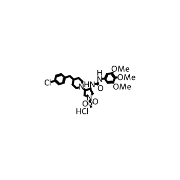 COc1cc(NC(=O)NC2CN(S(C)(=O)=O)CC2N2CCC(Cc3ccc(Cl)cc3)CC2)cc(OC)c1OC.Cl